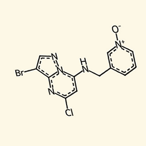 [O-][n+]1cccc(CNc2cc(Cl)nc3c(Br)cnn23)c1